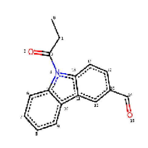 CCC(=O)n1c2ccccc2c2cc(C=O)ccc21